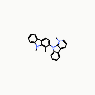 Cc1c(-n2c3ccccc3c3ccc[n+](C)c32)ccc2c3ccccc3n(C)c12